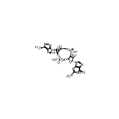 Nc1nc2c(ncn2[C@@H]2OC3CO[P@@](=O)(S)O[C@@H]4[C@H](O)[C@@H](CO[P@@](=O)(S)O[C@H]3[C@H]2F)O[C@H]4n2cnc3c(N)ncnc32)c(=O)[nH]1